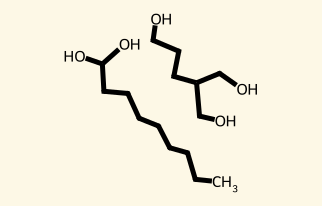 CCCCCCCCC(O)O.OCCCC(CO)CO